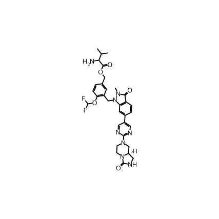 CC(C)C(N)C(=O)OCc1ccc(OC(F)F)c(Cn2c3cc(-c4cnc(N5CCN6C(=O)NC[C@@H]6C5)nc4)ccc3c(=O)n2C)c1